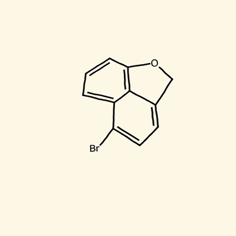 Brc1ccc2c3c(cccc13)OC2